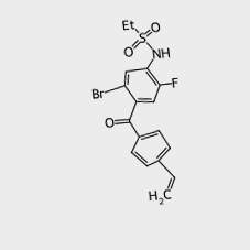 C=Cc1ccc(C(=O)c2cc(F)c(NS(=O)(=O)CC)cc2Br)cc1